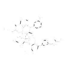 CCN1CCN(N(C=O)C(C(=O)N[C@]2(NC=O)C(=O)N3C(C(=O)[O-])=C(C(=S)c4nnc(NC(=O)CCl)s4)CS[C@H]32)c2ccccc2)C(=O)C1=O.[Na+]